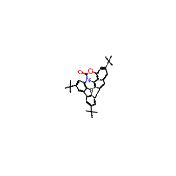 CC(C)(C)c1cc2c3c(c1)-c1cc4cc(C(C)(C)C)cc5c4c4c1B3c1c-2cc(C(C)(C)C)cc1N4C(=O)O5